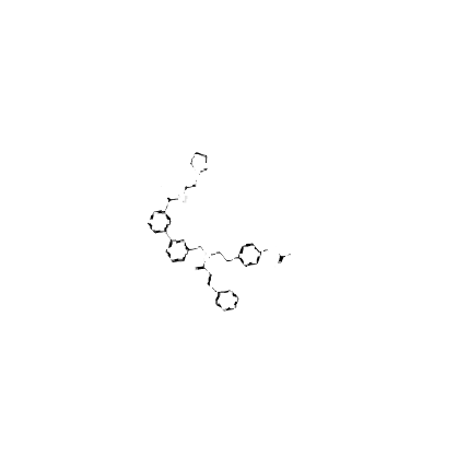 O=C(NCCN1CCCC1)c1cccc(-c2cccc(CN(CCc3ccc(OC(=O)C(F)(F)F)cc3)C(=O)/C=C/c3ccccc3)c2)c1